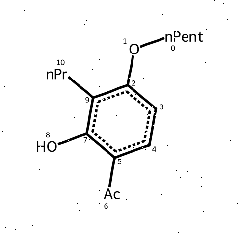 CCCCCOc1ccc(C(C)=O)c(O)c1CCC